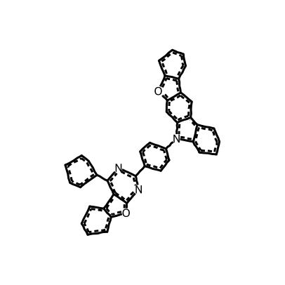 c1ccc(-c2nc(-c3ccc(-n4c5ccccc5c5cc6c(cc54)oc4ccccc46)cc3)nc3oc4ccccc4c23)cc1